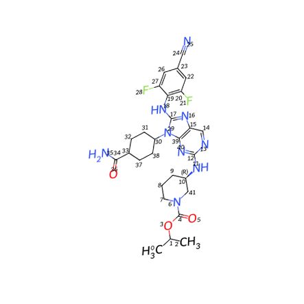 CC(C)OC(=O)N1CCC[C@@H](Nc2ncc3nc(Nc4c(F)cc(C#N)cc4F)n(C4CCC(C(N)=O)CC4)c3n2)C1